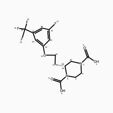 O=C(O)N1CCN(C(=O)O)[C@H](CCOc2cc(F)cc(C(F)(F)F)c2)C1